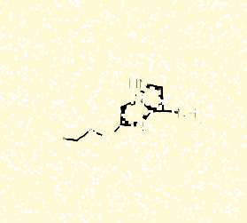 Nc1c[nH]n2cc(OCCO)nc12